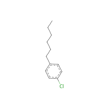 CCCCCCc1ccc(Cl)cc1